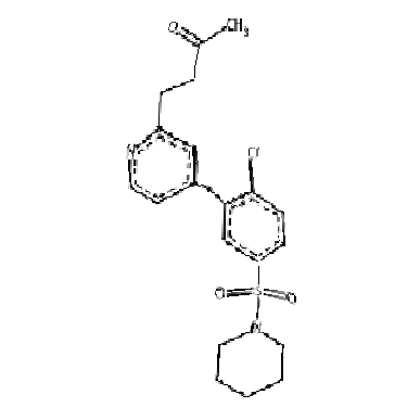 CC(=O)CCc1cc(-c2cc(S(=O)(=O)N3CCCCC3)ccc2Cl)ccn1